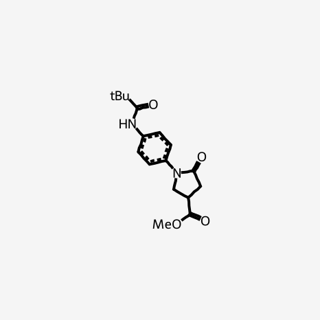 COC(=O)C1CC(=O)N(c2ccc(NC(=O)C(C)(C)C)cc2)C1